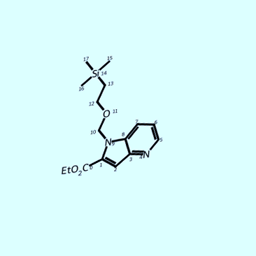 CCOC(=O)c1cc2ncccc2n1COCC[Si](C)(C)C